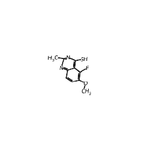 COc1ccc2nc(C)nc(S)c2c1F